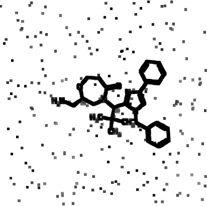 CC(C)(C)[C@H](c1nc(-c2ccccc2)cn1Cc1ccccc1)N1C[C@@H](CN)OCCC1=O